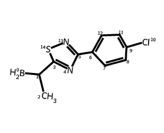 BC(C)c1nc(-c2ccc(Cl)cc2)ns1